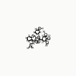 COc1ccc([C@H]2Sc3ccccc3N(CCN(C)C)C(=O)[C@H]2OC(=O)c2cc(OC)c(OC)c(OC)c2)cc1